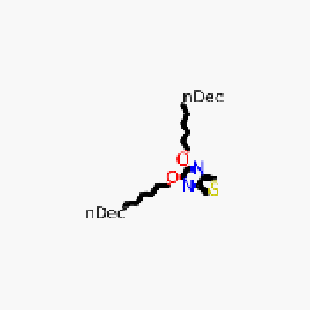 CCCCCCCCCCCCCCCCOc1nc2cscc2nc1OCCCCCCCCCCCCCCCC